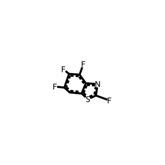 Fc1nc2c(F)c(F)c(F)cc2s1